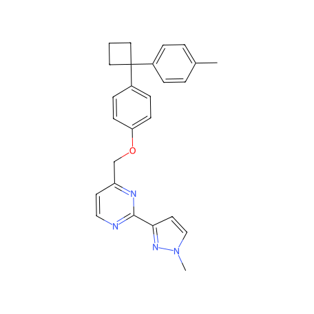 Cc1ccc(C2(c3ccc(OCc4ccnc(-c5ccn(C)n5)n4)cc3)CCC2)cc1